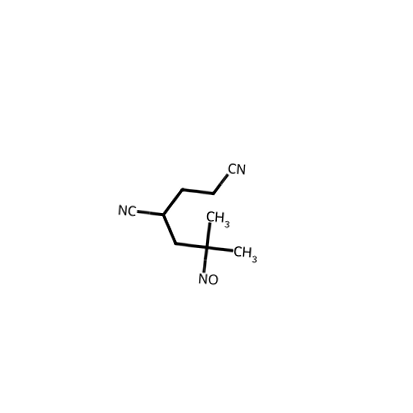 CC(C)(CC(C#N)CCC#N)N=O